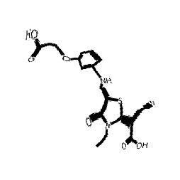 CCn1c(=C(C#N)C(=O)O)sc(=CNc2cccc(OCC(=O)O)c2)c1=O